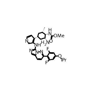 COC(=O)N[C@@H]1[C@H](N)C[C@H](c2ccncc2Nc2ncc3ccc(-c4c(F)cc(OC(C)C)cc4F)nn23)C[C@@H]1C